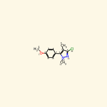 COc1ccc(-c2c(C)c(Cl)nn2C)cc1